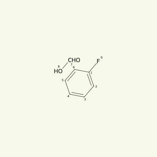 Fc1ccccc1.O=CO